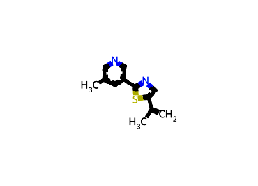 C=C(C)c1cnc(-c2cncc(C)c2)s1